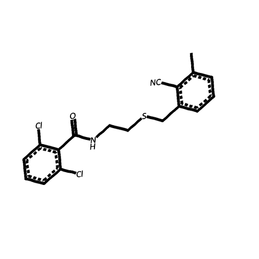 Cc1cccc(CSCCNC(=O)c2c(Cl)cccc2Cl)c1C#N